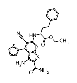 CCOC(=O)[C@H](CCc1ccccc1)Nc1nc2sc(C(N)=O)c(N)c2c(-c2cccs2)c1C#N